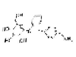 NCc1ccc(Cc2ccccc2O[C@@H]2C[C@H](CO)[C@@H](O)[C@H](O)[C@H]2O)cc1